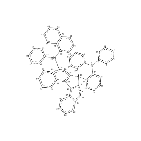 c1ccc(N2c3ccccc3C3(c4ccccc42)c2ccc4ccccc4c2-c2c3cc(N(c3ccccc3)c3cccc4ccccc34)c3ccccc23)cc1